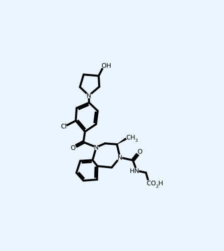 C[C@@H]1CN(C(=O)c2ccc(N3CCC(O)C3)cc2Cl)c2ccccc2CN1C(=O)NCC(=O)O